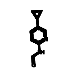 O=CNc1ccc(C2CC2)cn1